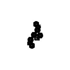 N#Cc1c(-c2ccc3sc4ccccc4c3c2)ccc(-c2ccc3sc4ccccc4c3c2)c1-c1ccccc1